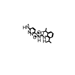 CNc1ccc(S(=O)(=O)NC(=O)Nc2c(C(C)C)cccc2C(C)C)nn1